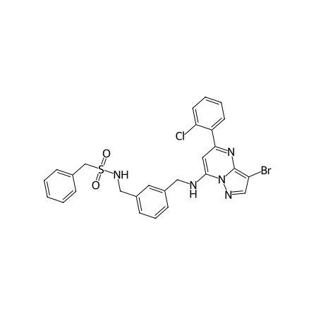 O=S(=O)(Cc1ccccc1)NCc1cccc(CNc2cc(-c3ccccc3Cl)nc3c(Br)cnn23)c1